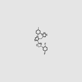 Cc1ccc2c(c1)-n1nncc1Cc1c(C3=N[C@@H](c4cc(F)ccc4F)CO3)ncn1-2